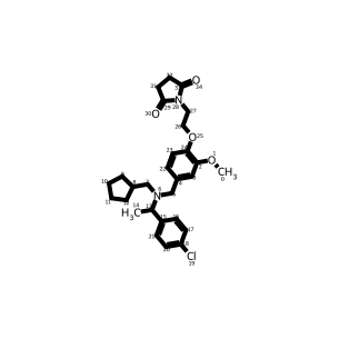 COc1cc(CN(CC2CCCC2)C(C)c2ccc(Cl)cc2)ccc1OCCN1C(=O)CCC1=O